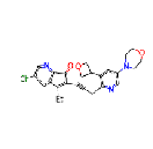 CCC1=C(C#CCc2ncc(N3CCOCC3)cc2C2COC2)C(=O)c2ncc(Cl)cc21